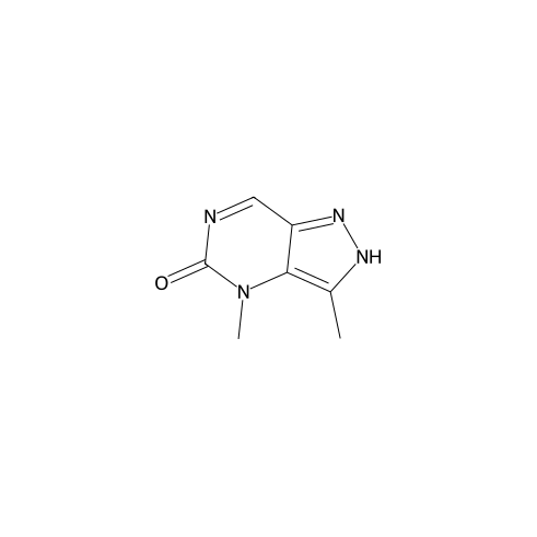 Cc1[nH]nc2cnc(=O)n(C)c12